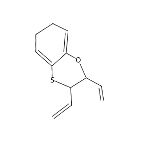 C=CC1OC2=CCCC=C2SC1C=C